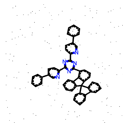 c1ccc(-c2ccc(-c3nc(-c4ccc(-c5ccccc5)cn4)nc(-c4cccc5c4-c4ccccc4C54c5ccccc5-c5ccccc54)n3)nc2)cc1